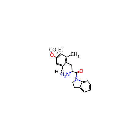 CCOC(=O)Oc1cc(C)c(C[C@H](N)C(=O)N2CCc3ccccc32)c(C)c1